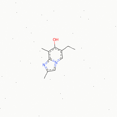 CCc1cn2cc(C)nc2c(C)c1O